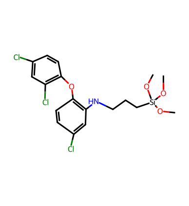 CO[Si](CCCNc1cc(Cl)ccc1Oc1ccc(Cl)cc1Cl)(OC)OC